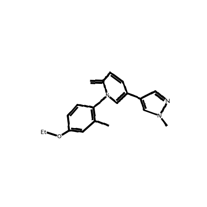 C=C1C=CC(c2cnn(C)c2)=CN1c1ccc(OCC)cc1C